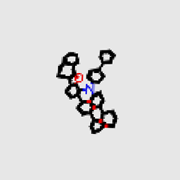 c1ccc(-c2ccc(-c3ccc4c(oc5c6ccccc6ccc45)c3N(c3ccc(-c4ccccc4)cc3)c3ccc(-c4ccccc4)cc3)cc2)cc1